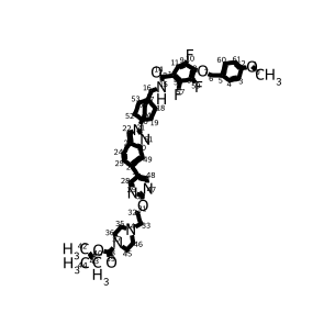 COc1ccc(COc2c(F)cc(C(=O)NCC34CCC(n5cc6ccc(-c7cnc(OCCN8CCN(C(=O)OC(C)(C)C)CC8)nc7)cc6n5)(CC3)CC4)c(F)c2F)cc1